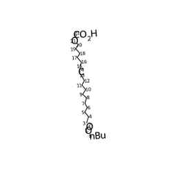 CCCCOOCCCCCCCCCCCCCCCCCCOC(=O)O